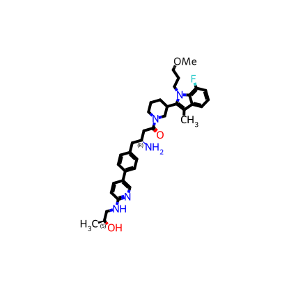 COCCCn1c(C2CCCN(C(=O)C[C@H](N)Cc3ccc(-c4ccc(NC[C@H](C)O)nc4)cc3)C2)c(C)c2cccc(F)c21